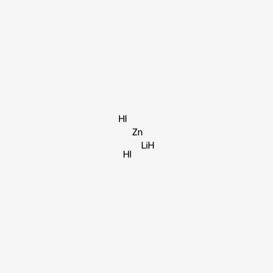 I.I.[LiH].[Zn]